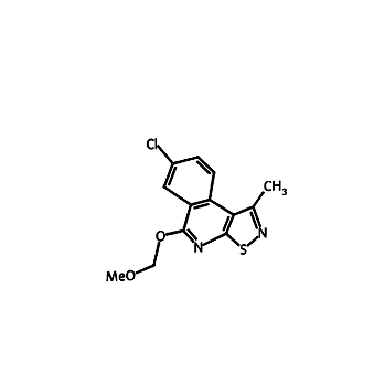 COCOc1nc2snc(C)c2c2ccc(Cl)cc12